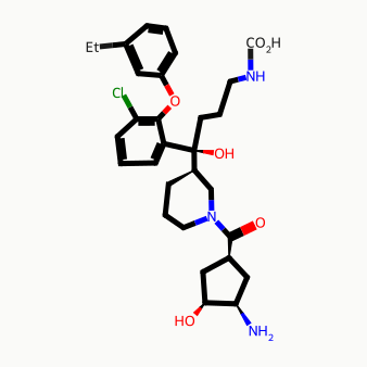 CCc1cccc(Oc2c(Cl)cccc2[C@](O)(CCCNC(=O)O)[C@@H]2CCCN(C(=O)[C@H]3C[C@@H](N)[C@@H](O)C3)C2)c1